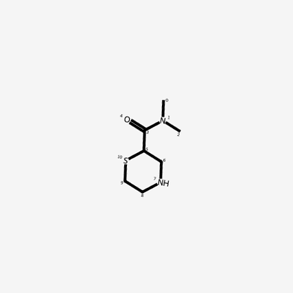 CN(C)C(=O)C1CNCCS1